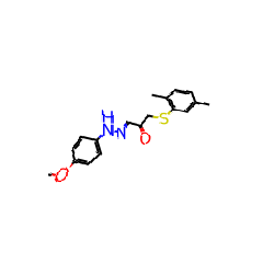 COc1ccc(NN=CC(=O)CSc2cc(C)ccc2C)cc1